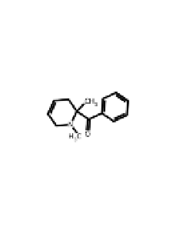 CN1CC=CCC1(C)C(=O)c1ccccc1